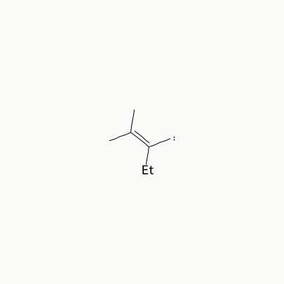 [CH]C(C[CH2])=C(C)C